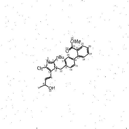 CCCCc1nc(Cl)c(C=CC(C)O)n1Cc1ccc(-c2ccccc2C(=O)OC)cc1